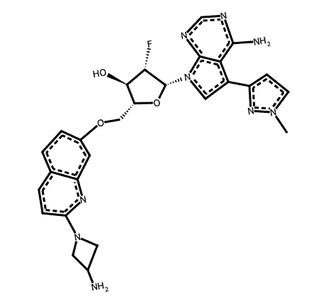 Cn1ccc(-c2cn([C@@H]3O[C@H](COc4ccc5ccc(N6CC(N)C6)nc5c4)[C@@H](O)[C@@H]3F)c3ncnc(N)c23)n1